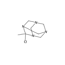 CC1(Cl)N2CN3CN(C2)CN1C3